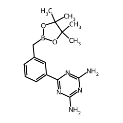 CC1(C)OB(Cc2cccc(-c3nc(N)nc(N)n3)c2)OC1(C)C